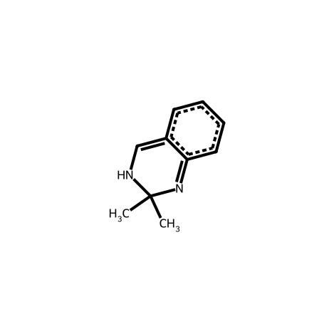 CC1(C)N=c2ccccc2=CN1